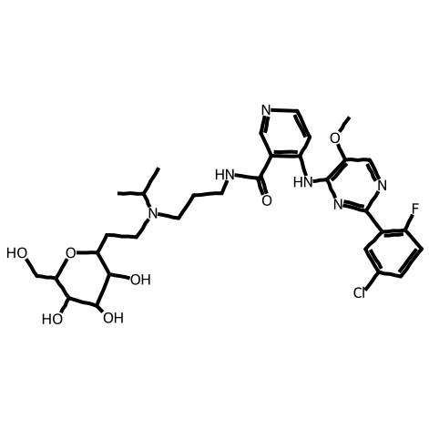 COc1cnc(-c2cc(Cl)ccc2F)nc1Nc1ccncc1C(=O)NCCCN(CCC1OC(CO)C(O)C(O)C1O)C(C)C